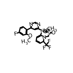 COc1cc(F)ccc1-c1cc(NC2=CC=CC(C(F)(F)F)N2CS(C)(=O)=O)ncn1